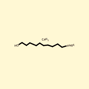 CCCCCCCCCCCCCCCCCO.[CaH2]